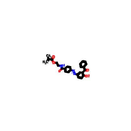 C=C(C)C(=O)OCCNC(=O)c1ccc(/N=N/c2ccc(O)c(C(=O)c3ccccc3)c2)cc1